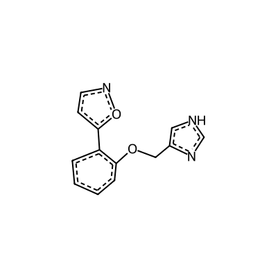 c1ccc(-c2ccno2)c(OCc2c[nH]cn2)c1